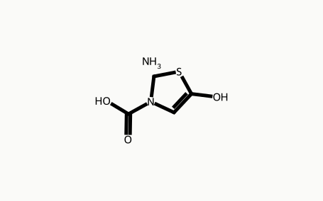 N.O=C(O)N1C=C(O)SC1